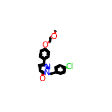 COCCOc1ccc(-c2ccc(=O)n(Cc3ccc(Cl)cc3)n2)cc1